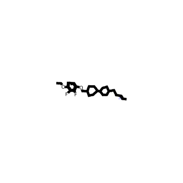 C/C=C/CCC1CCC(C2CCC(COc3ccc(OCC)c(F)c3F)CC2)CC1